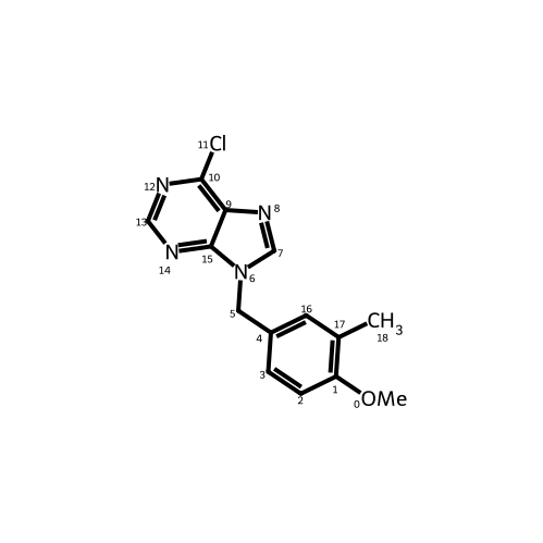 COc1ccc(Cn2cnc3c(Cl)ncnc32)cc1C